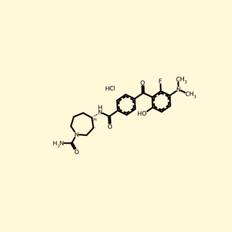 CN(C)c1ccc(O)c(C(=O)c2ccc(C(=O)N[C@@H]3[CH]CN(C(N)=O)CCC3)cc2)c1F.Cl